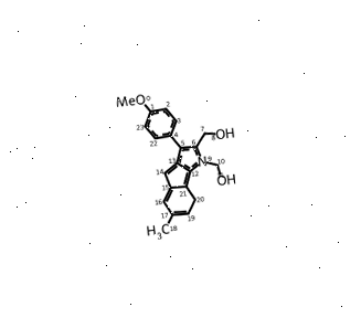 COc1ccc(-c2c(CO)n(CO)c3c2=CC2=CC(C)=CCC=32)cc1